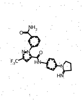 N=C1CCCN1c1ccc(NC(=O)c2cc(C(F)(F)F)nn2-c2cccc(C(N)=O)c2)cc1